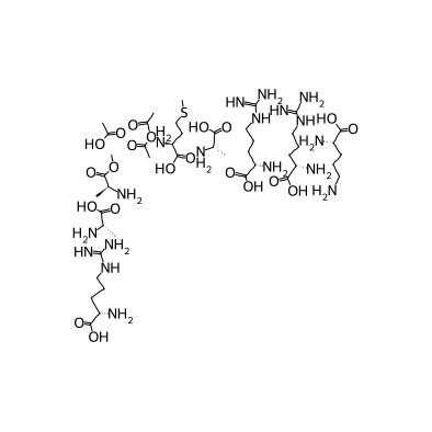 CC(=O)O.CC(=O)OC(C)=O.COC(=O)[C@H](C)N.CSCC[C@H](N)C(=O)O.C[C@H](N)C(=O)O.C[C@H](N)C(=O)O.N=C(N)NCCC[C@H](N)C(=O)O.N=C(N)NCCC[C@H](N)C(=O)O.N=C(N)NCCC[C@H](N)C(=O)O.NCCC[C@H](N)C(=O)O